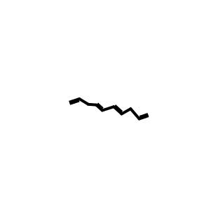 C=CCC=CC=CCC=C